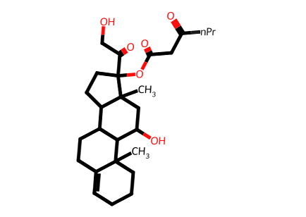 CCCC(=O)CC(=O)OC1(C(=O)CO)CCC2C3CCC4=CCCCC4(C)C3C(O)CC21C